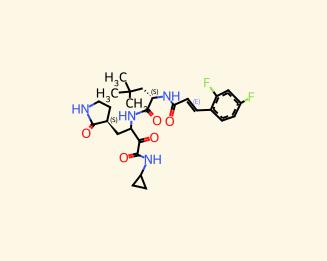 CC(C)(C)C[C@H](NC(=O)/C=C/c1ccc(F)cc1F)C(=O)NC(C[C@@H]1CCNC1=O)C(=O)C(=O)NC1CC1